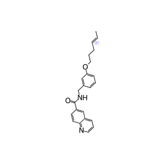 C/C=C/CCCOc1cccc(CNC(=O)c2ccc3ncccc3c2)c1